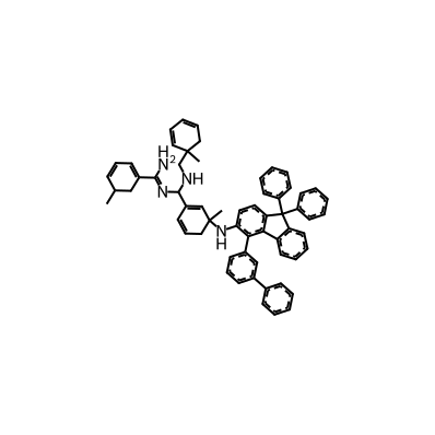 CC1C=CC=C(/C(N)=N/C(NCC2(C)C=CC=CC2)C2=CC(C)(Nc3ccc4c(c3-c3cccc(-c5ccccc5)c3)-c3ccccc3C4(c3ccccc3)c3ccccc3)CC=C2)C1